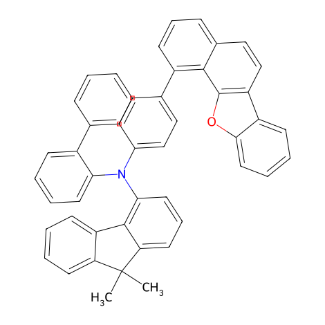 CC1(C)c2ccccc2-c2c(N(c3ccc(-c4cccc5ccc6c7ccccc7oc6c45)cc3)c3ccccc3-c3ccccc3)cccc21